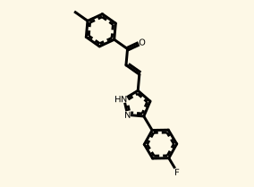 Cc1ccc(C(=O)C=Cc2cc(-c3ccc(F)cc3)n[nH]2)cc1